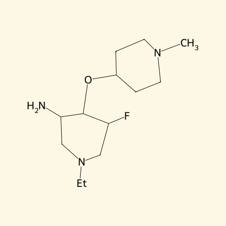 CCN1CC(N)C(OC2CCN(C)CC2)C(F)C1